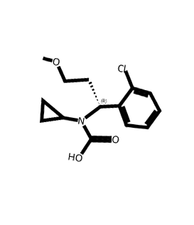 COCC[C@H](c1ccccc1Cl)N(C(=O)O)C1CC1